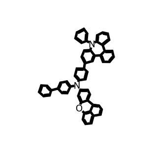 c1ccc(-c2ccc(N(c3ccc(-c4ccc5c(c4)-c4ccccc4-c4ccccc4N5c4ccccc4)cc3)c3ccc4c(c3)Oc3cccc5cccc-4c35)cc2)cc1